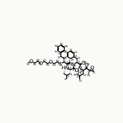 C=C(N[C@@H](CC(C)C)C(=O)N[C@@H](CC1C=CC=CC1)C(=O)NC(CC(C)C)C(=O)[C@@]1(C)CO1)[C@H](CCc1ccccc1)SCCOCCOCCOC